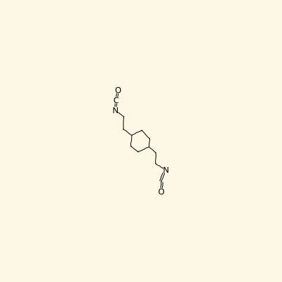 O=C=NCCC1CCC(CCN=C=O)CC1